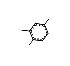 CCCCc1ccc(C(=O)O)c([N+](=O)[O-])c1